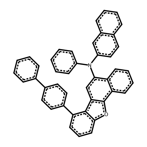 c1ccc(-c2ccc(-c3cccc4oc5c6ccccc6c(N(c6ccccc6)c6ccc7ccccc7c6)cc5c34)cc2)cc1